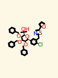 CC(C)(O)[C@H]1O[C@@H](c2ccc(Cl)c(Cc3ncc(-c4ccco4)s3)c2)[C@H](OCc2ccccc2)[C@@H](OCc2ccccc2)[C@@H]1OCc1ccccc1